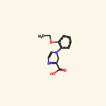 CCOc1ccccc1N1C=CN=C(C(=O)O)C1